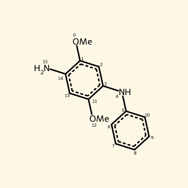 COc1cc(Nc2ccccc2)c(OC)cc1N